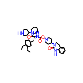 CCc1ccc(C[C@@H](NC(=O)ON2CCC(N3CCc4ccccc4NC3=O)CC2)C(=O)[N+]2(C3CCNCC3)CCCCC2)cc1CC